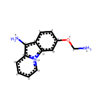 NCOc1ccc2c(N)c3ccccn3c2c1